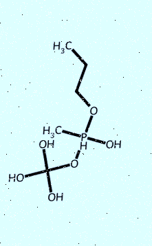 CCCO[PH](C)(O)OC(O)(O)O